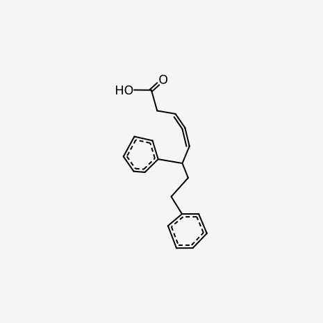 O=C(O)CC=C=CC(CCc1ccccc1)c1ccccc1